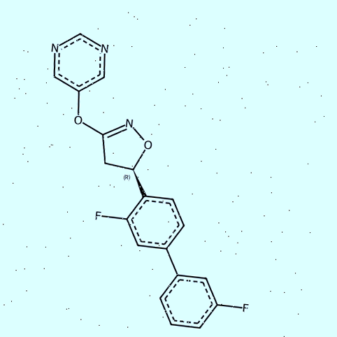 Fc1cccc(-c2ccc([C@H]3CC(Oc4cncnc4)=NO3)c(F)c2)c1